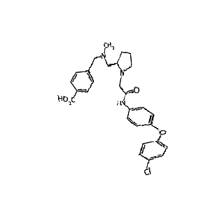 CN(Cc1ccc(C(=O)O)cc1)C[C@H]1CCCN1CC(=O)Nc1ccc(Oc2ccc(Cl)cc2)cc1